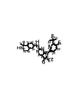 CCn1c(=O)c2cnc(Nc3ccc4c(c3)CCNC4(C)C)nc2n1-c1ccc(F)c(C(C)(C)F)n1